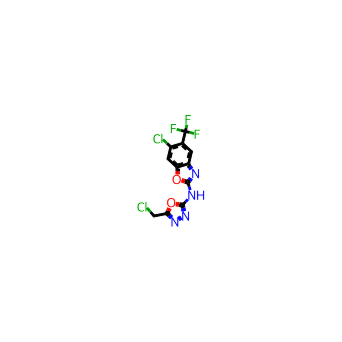 FC(F)(F)c1cc2nc(Nc3nnc(CCl)o3)oc2cc1Cl